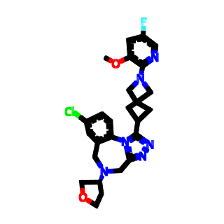 COc1cc(F)cnc1N1CC2(CC(c3nnc4n3-c3ccc(Cl)cc3CN([C@H]3CCOC3)C4)C2)C1